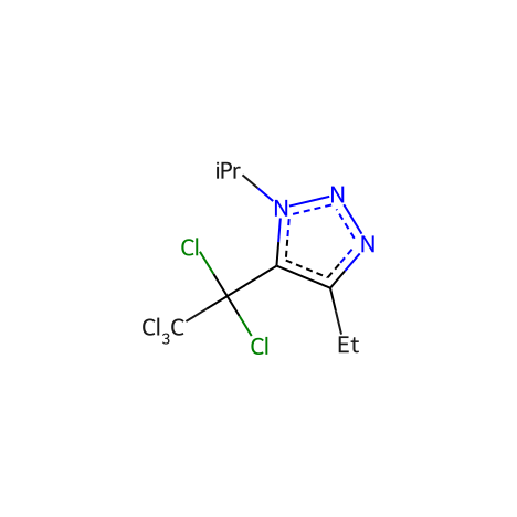 CCc1nnn(C(C)C)c1C(Cl)(Cl)C(Cl)(Cl)Cl